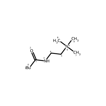 CCC(C)C(=O)NCC[N+](C)(C)C